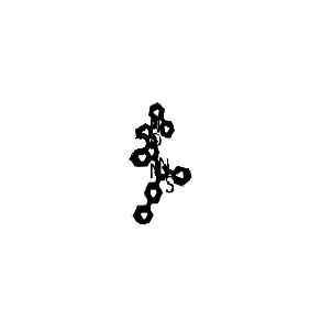 c1ccc(-c2ccc(-c3nc(-c4cc5oc6c(-n7c8ccccc8c8ccccc87)cccc6c5c5ccccc45)nc4c3sc3ccccc34)cc2)cc1